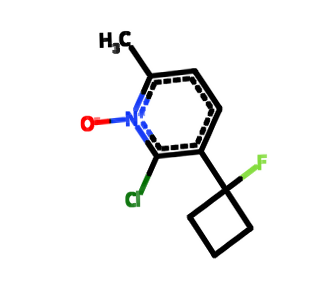 Cc1ccc(C2(F)CCC2)c(Cl)[n+]1[O-]